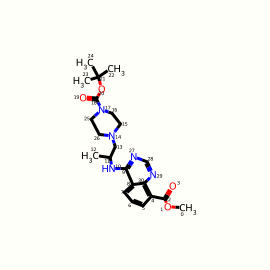 COC(=O)c1cccc2c(NC(C)CN3CCN(C(=O)OC(C)(C)C)CC3)ncnc12